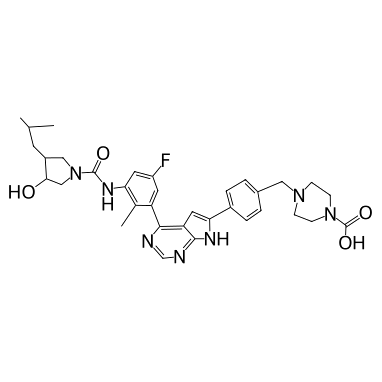 Cc1c(NC(=O)N2CC(O)C(CC(C)C)C2)cc(F)cc1-c1ncnc2[nH]c(-c3ccc(CN4CCN(C(=O)O)CC4)cc3)cc12